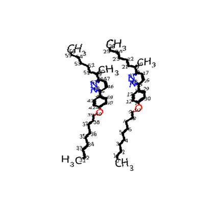 CCCCCCCCCCOc1ccc(-c2ccc(C(C)CCCCCC)nn2)cc1.CCCCCCCCCOc1ccc(-c2ccc(C(C)CCCCCC)nn2)cc1